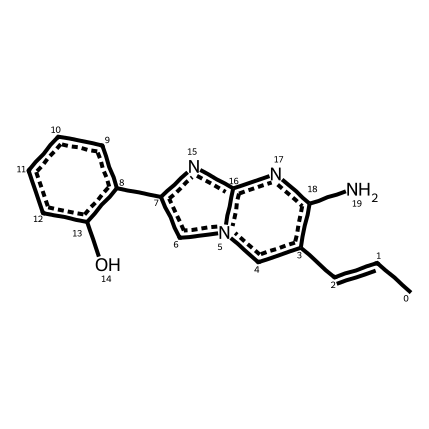 C/C=C/c1cn2cc(-c3ccccc3O)nc2nc1N